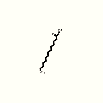 CCCCCCC=CCCCCCC(=O)OC